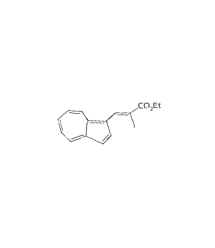 CCOC(=O)C(C)=Cc1ccc2cccccc1-2